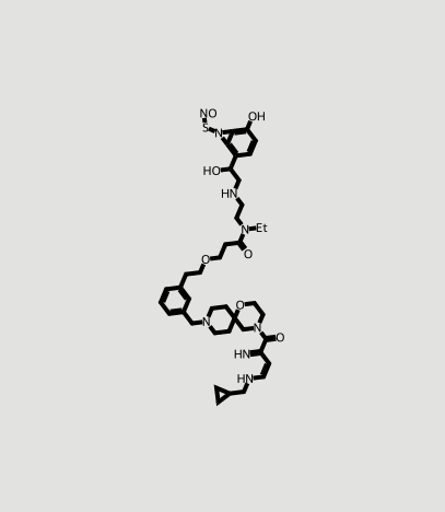 CCN(CCNCC(O)c1ccc(O)c2c1N2SN=O)C(=O)CCOCCc1cccc(CN2CCC3(CC2)CN(C(=O)C(=N)/C=C\NCC2CC2)CCO3)c1